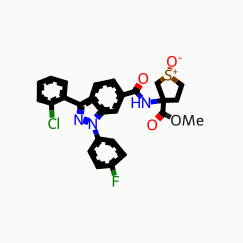 COC(=O)C1(NC(=O)c2ccc3c(-c4ccccc4Cl)nn(-c4ccc(F)cc4)c3c2)CC[S+]([O-])C1